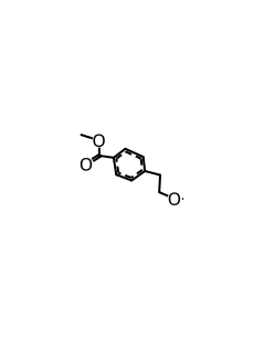 COC(=O)c1ccc(CC[O])cc1